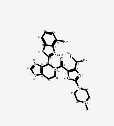 CN1CCN(c2nc(C(F)F)c(C(=O)N3CCc4[nH]cnc4[C@H]3c3nc4c(F)cccc4s3)o2)CC1